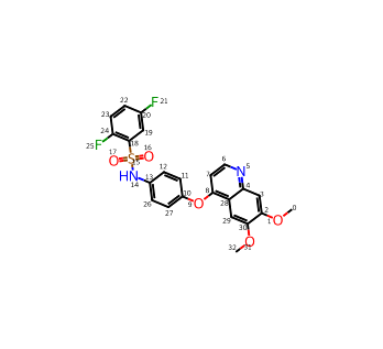 COc1cc2nccc(Oc3ccc(NS(=O)(=O)c4cc(F)ccc4F)cc3)c2cc1OC